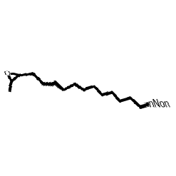 CCCCCCCCCCCCCCCCCCCCCC1OC1C